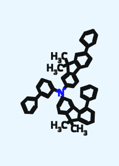 CC1(C)c2cc(-c3ccccc3)ccc2-c2ccc(N(c3cccc(-c4ccccc4)c3)c3ccc4c(c3)-c3c(-c5ccccc5)cccc3C4(C)C)cc21